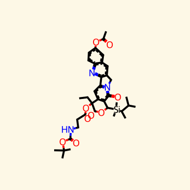 CCC1(OC(=O)CCNC(=O)OC(C)(C)C)C(=O)OC([Si](C)(C)C(C)C(C)C)c2c1cc1n(c2=O)Cc2cc3cc(OC(C)=O)ccc3nc2-1